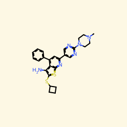 CN1CCN(c2ncc(-c3cc(-c4ccccc4)c4c(N)c(SC5CCC5)sc4n3)cn2)CC1